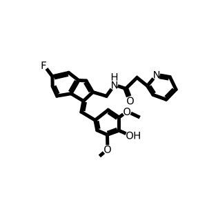 COc1cc(C=C2C(CNC(=O)Cc3ccccn3)=Cc3cc(F)ccc32)cc(OC)c1O